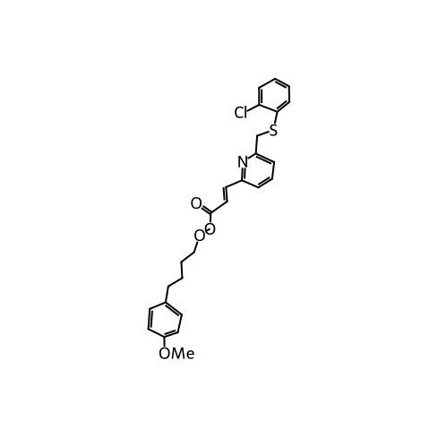 COc1ccc(CCCCOOC(=O)C=Cc2cccc(CSc3ccccc3Cl)n2)cc1